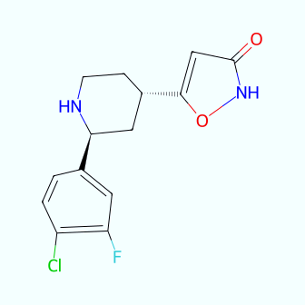 O=c1cc([C@H]2CCN[C@H](c3ccc(Cl)c(F)c3)C2)o[nH]1